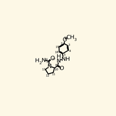 COc1ccc(NNC(=O)C2C[CH]CN2C(N)=O)cc1